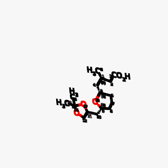 C[C@@H](CC(=O)O)C[C@@H]1CCC[C@H](CC2COC(C)(C)O2)O1